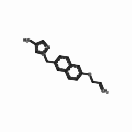 C=CCOc1ccc2cc(Cn3cc(C)cn3)ccc2c1